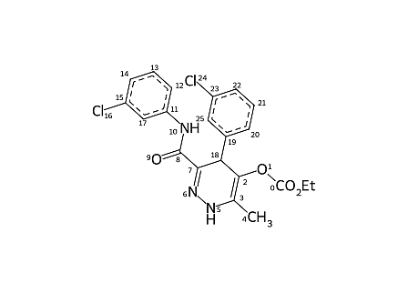 CCOC(=O)OC1=C(C)NN=C(C(=O)Nc2cccc(Cl)c2)C1c1cccc(Cl)c1